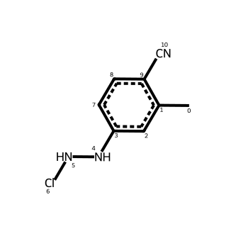 Cc1cc(NNCl)ccc1C#N